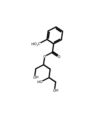 O=C(O)c1ccccc1C(=O)OC(CO)CC(O)CO